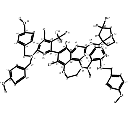 COc1ccc(CNc2nnccc2[C@@H](C)N2CCOc3c(Cl)c(-c4nc(N(Cc5ccc(OC)cc5)Cc5ccc(OC)cc5)cc(C)c4C(F)(F)F)c(F)c4nc(OC[C@]56CCN5CC(F)(F)C6)nc2c34)cc1